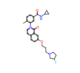 Cc1ccc(C(=O)NC2CC2)cc1-n1ccc2ccc(OCCCN3CCC(F)C3)cc2c1=O